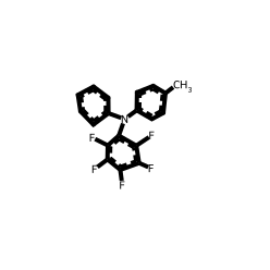 Cc1ccc(N(c2ccccc2)c2c(F)c(F)c(F)c(F)c2F)cc1